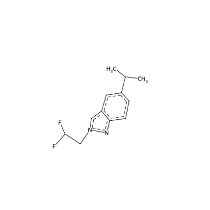 CC(C)c1ccc2nn(CC(F)F)cc2c1